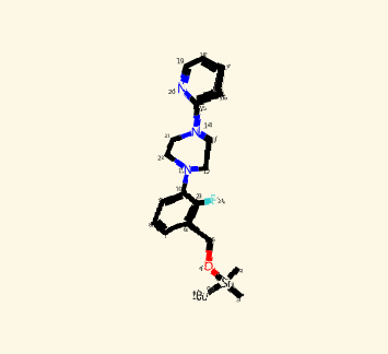 CC(C)(C)[Si](C)(C)OCc1cccc(N2CCN(c3ccccn3)CC2)c1F